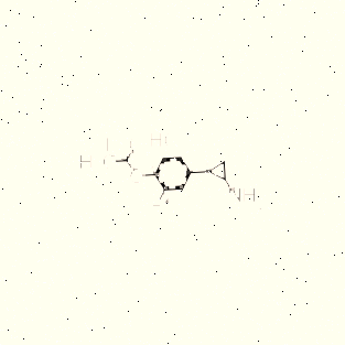 CC(C)Oc1ccc(C2CC2N)cc1F.Cl